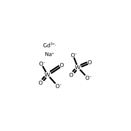 [Gd+3].[Na+].[O]=[W](=[O])([O-])[O-].[O]=[W](=[O])([O-])[O-]